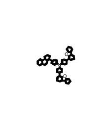 c1ccc2c(c1)ccc1c(-c3ccc(N(c4ccc(-c5cccc6c5oc5ccccc56)cc4)c4ccc(-c5cccc6c5oc5ccccc56)cc4)cc3)cccc12